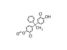 CC(c1ccccc1)(c1ccc(O)c(Cl)c1)c1ccc(OC=O)c(Cl)c1